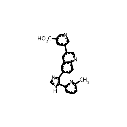 Cc1cccc(-c2[nH]cnc2-c2ccc3ncc(-c4cncc(C(=O)O)c4)cc3c2)n1